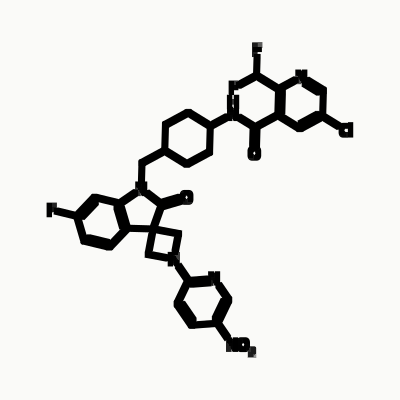 O=C(NC1CCC(CN2C(=O)C3(CN(c4ccc([N+](=O)[O-])cn4)C3)c3ccc(F)cc32)CC1)c1cc(Cl)cnc1C(F)F